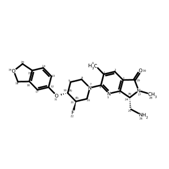 Cc1cc2c(nc1N1CC[C@@H](Oc3ccc4c(c3)COC4)[C@H](F)C1)[C@@H](CN)N(C)C2=O